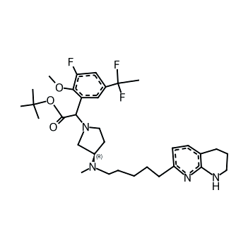 COc1c(F)cc(C(C)(F)F)cc1C(C(=O)OC(C)(C)C)N1CC[C@@H](N(C)CCCCCc2ccc3c(n2)NCCC3)C1